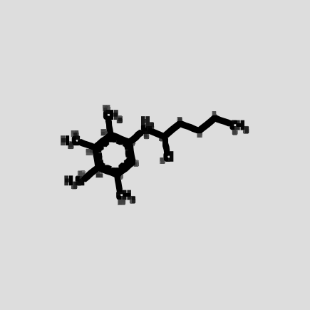 CCCCC(Cl)[SiH2]c1cc(C)c([SiH3])c(C)c1C